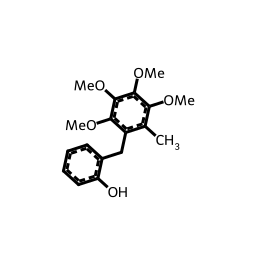 COc1c(C)c(Cc2ccccc2O)c(OC)c(OC)c1OC